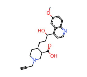 C#CCN1CC[C@@H](CCC(O)c2ccnc3ccc(OC)cc23)[C@@H](C(=O)O)C1